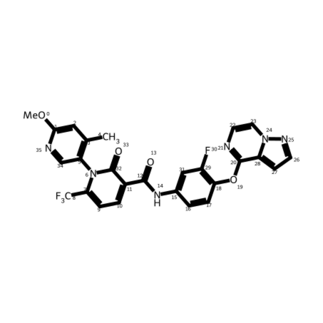 COc1cc(C)c(-n2c(C(F)(F)F)ccc(C(=O)Nc3ccc(Oc4nccn5nccc45)c(F)c3)c2=O)cn1